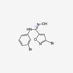 O/N=C(/Nc1cccc(Br)c1)c1cc(Br)no1